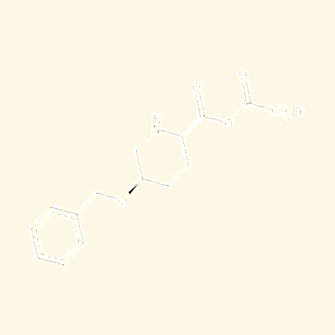 CCOC(=O)C(=O)OC(=O)[C@@H]1CC[C@@H](OCc2ccccc2)CN1